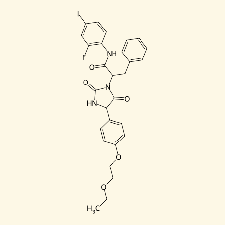 CCOCCOc1ccc(C2NC(=O)N(C(Cc3ccccc3)C(=O)Nc3ccc(I)cc3F)C2=O)cc1